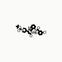 CC(C)(C)OC(=O)N1CCC(c2cc(=O)[nH]c3c4c(NC(=O)c5cccc(Cl)c5)cccc4nn23)CC1